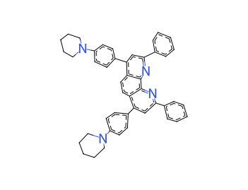 c1ccc(-c2cc(-c3ccc(N4CCCCC4)cc3)c3ccc4c(-c5ccc(N6CCCCC6)cc5)cc(-c5ccccc5)nc4c3n2)cc1